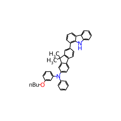 CCCCOc1cccc(N(c2ccccc2)c2ccc3c(c2)C(C)(C)c2cc(-c4cccc5c4[nH]c4ccccc45)ccc2-3)c1